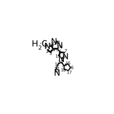 [CH2]n1ccc2c(-c3cnn(C(CC#N)C4CCCC4)c3)ncnc21